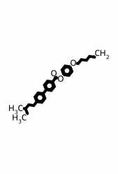 C=CCCCCOc1ccc(OC(=O)c2ccc(-c3ccc(CCC(C)CC)cc3)cc2)cc1